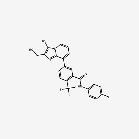 O=C(Nc1ccc(F)cc1)c1cc(-c2cccn3c(Br)c(CO)nc23)ccc1C(F)(F)F